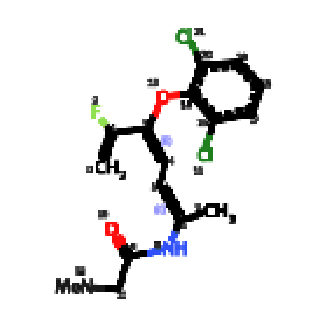 C=C(F)/C(=C\C=C(/C)NC(=O)CNC)Oc1c(Cl)cccc1Cl